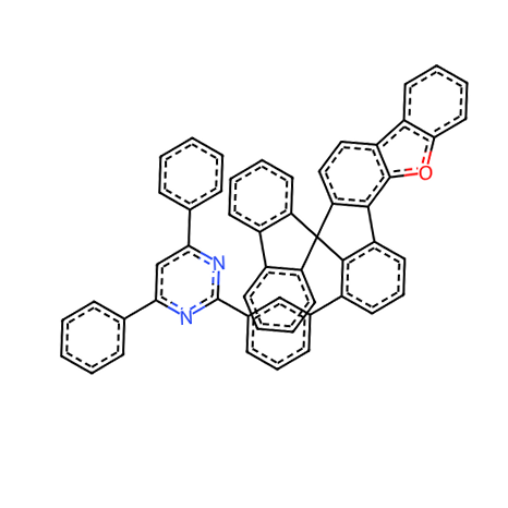 c1ccc(-c2cc(-c3ccccc3)nc(-c3cccc(-c4cccc5c4C4(c6ccccc6-c6ccccc64)c4ccc6c(oc7ccccc76)c4-5)c3)n2)cc1